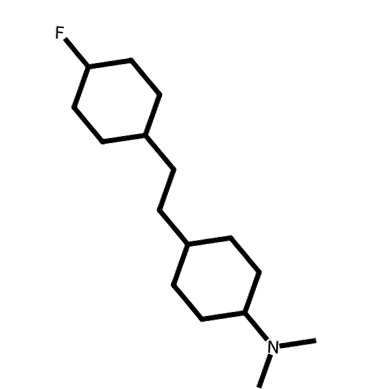 CN(C)C1CCC(CCC2CCC(F)CC2)CC1